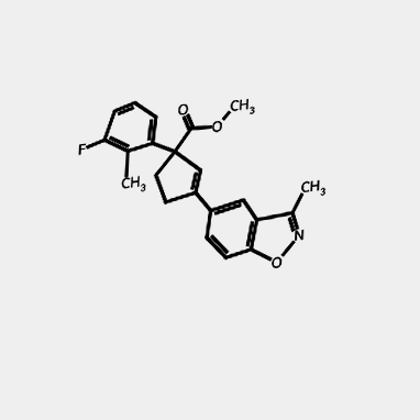 COC(=O)C1(c2cccc(F)c2C)C=C(c2ccc3onc(C)c3c2)CC1